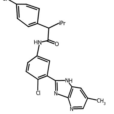 Cc1cnc2nc(-c3cc(NC(=O)C(c4ccc(Cl)cc4)C(C)C)ccc3Cl)[nH]c2c1